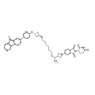 Cn1c2ccncc2c2ccc(-c3ccc(O[C@H]4C[C@H](OCCCCCCOC(C5CN(c6ccc7c(c6)C(=O)N(C6CCC(=O)NC6=O)C7=O)C5)C(F)(F)F)C4)nc3)cc21